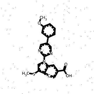 COc1cccc(-c2cnc(-n3cc(SC)c4ccc(C(=O)O)cc43)nc2)c1